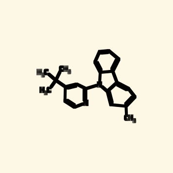 Cc1ccc2c3ccccc3n(-c3cc(C(C)(C)C)ccn3)c2c1